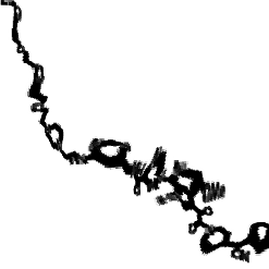 CCOCCOCCOCCOCCN1CCN(CCNc2cc(CNC(=O)c3ncn(-c4ncc(OC)c5c(C(=O)C(=O)N6CCC(=C(C#N)c7ccccc7)CC6)c[nH]c45)n3)ncn2)CC1